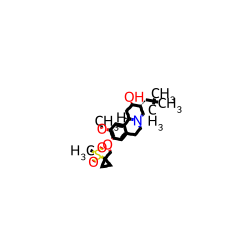 COc1cc2c(cc1OCC1(S(C)(=O)=O)CC1)CCN1C[C@@H](CC(C)(C)C)[C@H](O)C[C@H]21